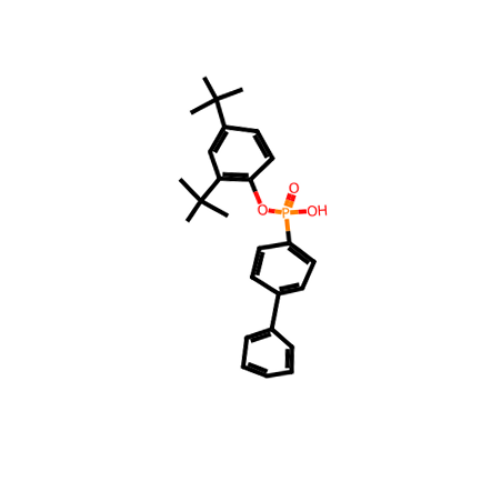 CC(C)(C)c1ccc(OP(=O)(O)c2ccc(-c3ccccc3)cc2)c(C(C)(C)C)c1